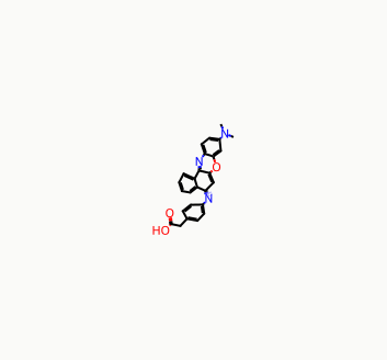 CN(C)c1ccc2nc3c4ccccc4/c(=N\c4ccc(CC(=O)O)cc4)cc-3oc2c1